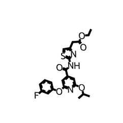 CCOC(=O)Cc1csc(NC(=O)c2cc(Oc3cccc(F)c3)nc(OC(C)C)c2)n1